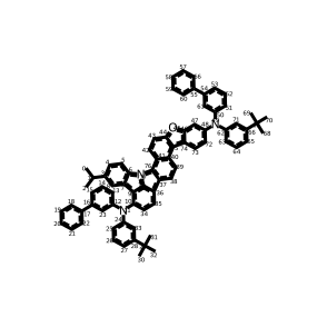 CC(C)c1ccc2c(c1)c1c(N(c3cccc(-c4ccccc4)c3)c3cccc(C(C)(C)C)c3)ccc3c4ccc5c(ccc6oc7cc(N(c8cccc(-c9ccccc9)c8)c8cccc(C(C)(C)C)c8)ccc7c65)c4n2c31